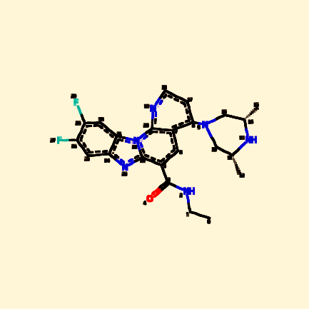 CCNC(=O)c1cc2c(N3C[C@@H](C)N[C@@H](C)C3)ccnc2n2c1nc1cc(F)c(F)cc12